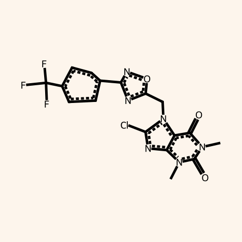 Cn1c(=O)c2c(nc(Cl)n2Cc2nc(-c3ccc(C(F)(F)F)cc3)no2)n(C)c1=O